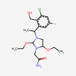 CCOC1CN(C(C)c2cc(F)cc(Cl)c2CO)C(OCC)N1CC(N)=O